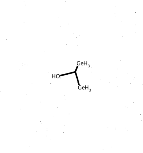 O[CH]([GeH3])[GeH3]